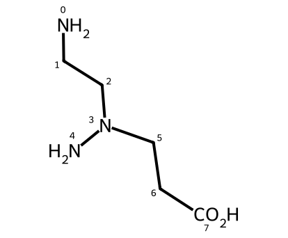 NCCN(N)CCC(=O)O